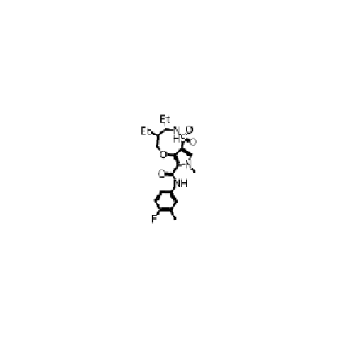 CCC1COc2c(cn(C)c2C(=O)Nc2ccc(F)c(C)c2)S(=O)(=O)N[C@H]1CC